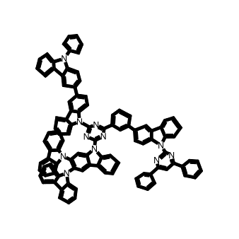 c1ccc(-c2cc(-c3ccccc3)nc(-n3c4ccccc4c4cc(-c5cccc(-c6nc(-n7c8ccccc8c8cc(-c9ccc%10c(c9)c9ccccc9n%10-c9ccccc9)ccc87)nc(-n7c8ccccc8c8cc(-n9c%10ccccc%10c%10ccccc%109)c(-n9c%10ccccc%10c%10ccccc%109)cc87)n6)c5)ccc43)n2)cc1